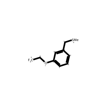 CSCc1cccc(OCC(F)(F)F)c1